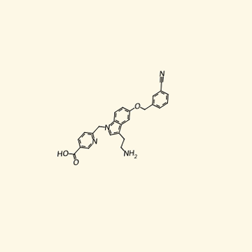 N#Cc1cccc(COc2ccc3c(c2)c(CCN)cn3Cc2ccc(C(=O)O)cn2)c1